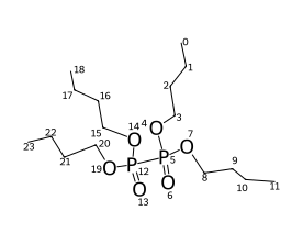 CCCCOP(=O)(OCCCC)P(=O)(OCCCC)OCCCC